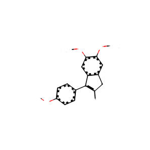 COc1ccc(C2=C(C)Cc3cc(OC)c(OC)cc32)cc1